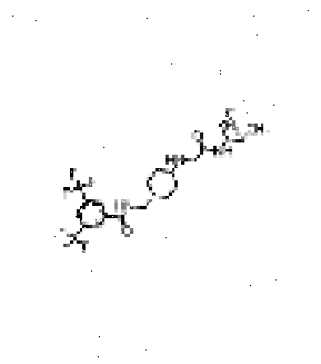 CCC(CC)NC(=O)CN[C@H]1CC[C@@H](CNC(=O)c2cc(C(F)(F)F)cc(C(F)(F)F)c2)CC1